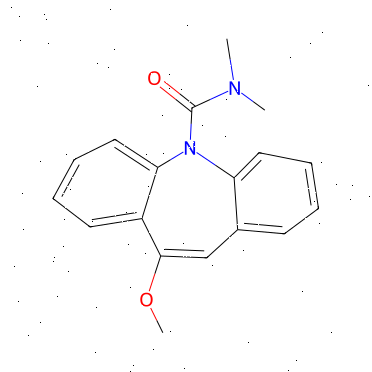 COC1=Cc2ccccc2N(C(=O)N(C)C)c2ccccc21